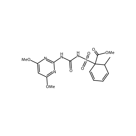 COC(=O)C1(S(=O)(=O)NC(=O)Nc2nc(OC)cc(OC)n2)C=CC=CC1C